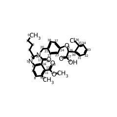 CCCCc1nc2ccc(C)c(C(=O)OC)c2c(=O)n1Cc1ccc(OC(C(=O)O)c2ccccc2Cl)cc1